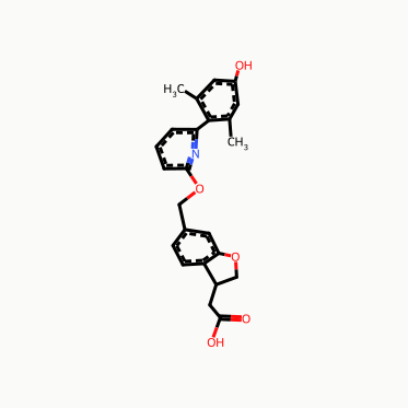 Cc1cc(O)cc(C)c1-c1cccc(OCc2ccc3c(c2)OCC3CC(=O)O)n1